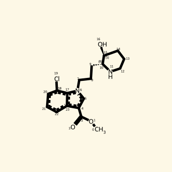 COC(=O)c1cn(CCC[C@H]2NCCC[C@@H]2O)c2c(Cl)cccc12